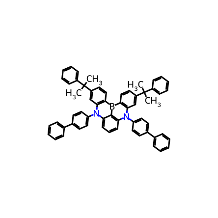 CC(C)(c1ccccc1)c1ccc2c(c1)N(c1ccc(-c3ccccc3)cc1)c1cccc3c1B2c1ccc(C(C)(C)c2ccccc2)cc1N3c1ccc(-c2ccccc2)cc1